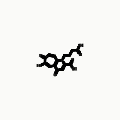 O=C(O)CCCn1c(C(=O)O)cc(=O)c2cc(O)c(=O)ccc21